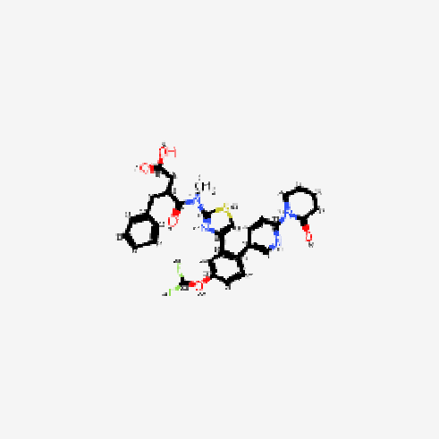 CN(C(=O)C(CC(=O)O)Cc1ccccc1)c1nc(-c2cc(OC(F)F)ccc2-c2ccc(N3CCCCC3=O)nc2)cs1